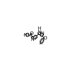 CN1CCN(C(=O)c2cnc3[nH]cc(-c4ccn5ncc(C(=O)N6CCN(C)CC6)c5c4)c3c2)CC1